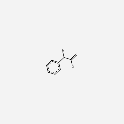 O=C(Cl)C(Br)c1ccccc1